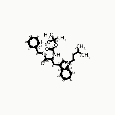 CC(C)CCn1cc(CC(NC(=O)OC(C)(C)C)C(=O)OCc2ccccc2)c2ccccc21